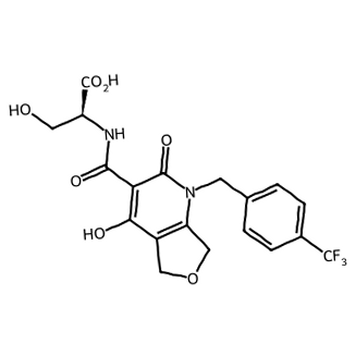 O=C(N[C@@H](CO)C(=O)O)c1c(O)c2c(n(Cc3ccc(C(F)(F)F)cc3)c1=O)COC2